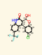 O=c1[nH]c2ccc(C(F)(F)F)cc2c2c1C(O)Oc1ccc(Cl)cc1-2